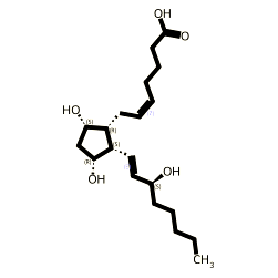 CCCCC[C@H](O)/C=C/[C@H]1[C@@H](C/C=C\CCCC(=O)O)[C@@H](O)C[C@H]1O